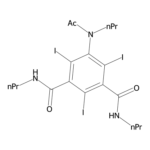 CCCNC(=O)c1c(I)c(C(=O)NCCC)c(I)c(N(CCC)C(C)=O)c1I